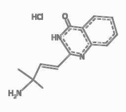 CC(C)(N)C=Cc1nc2ccccc2c(=O)[nH]1.Cl